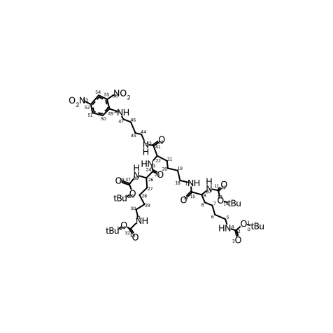 CC(C)(C)OC(=O)NCCCCC(NC(=O)OC(C)(C)C)C(=O)NCCCCC(NC(=O)C(CCCCNC(=O)OC(C)(C)C)NC(=O)OC(C)(C)C)C(=O)NCCCCNc1ccc([N+](=O)[O-])cc1[N+](=O)[O-]